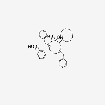 CC1(O)CN(Cc2ccccc2)CCCN(Cc2ccccc2)CC1C1CCCCCCCC1.O=C(O)c1ccccc1